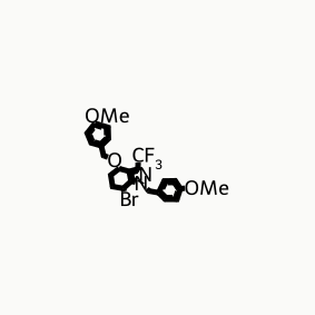 COc1ccc(COC2CCC(Br)c3c2c(C(F)(F)F)nn3Cc2ccc(OC)cc2)cc1